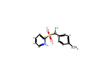 Cc1ccc(C(F)S(=O)(=O)c2ccccn2)cc1